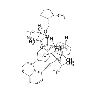 CC(C)[Si](C#Cc1cccc2cccc(N3CCc4c(N5[C@@H]6CC[C@H]5CN(C(=O)OC(C)(C)C)C6)nc(OC[C@@H]5CCCN5C)c(C#N)c4C3)c12)(C(C)C)C(C)C